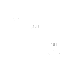 N=C(N)Nc1ccc(C[C@H](N)CCC(=O)O)cc1